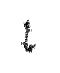 O=C(CN1CCN(c2cccc(-c3cnc4ccc(N5CCC[C@H]5c5cccc(F)c5)nn34)n2)CC1)NCCOCCOCCOCCOCCNc1ccc2c(c1)C(=O)N(C1CCC(=O)NC1=O)C2=O